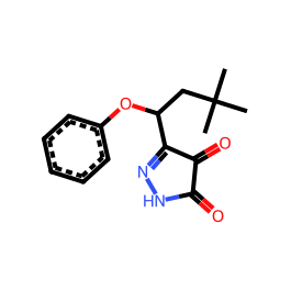 CC(C)(C)CC(Oc1ccccc1)C1=NNC(=O)C1=O